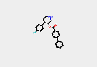 O=C(O[C@H]1CNCCC1c1ccc(F)cc1)c1ccc(-c2ccccc2)cc1